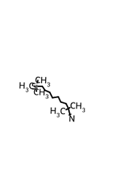 CC(C)(C#N)CCCCCCC[Si](C)(C)C